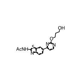 CC(=O)Nc1nc2ccc(-c3ccnc(OCCCO)n3)cc2s1